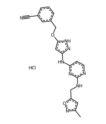 Cc1cc(CNc2nccc(Nc3cc(OCc4cccc(C#N)c4)[nH]n3)n2)on1.Cl